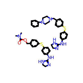 CN(C)C(=O)OCc1ccc(Sc2ccc(NC3=NCCN3)cc2)cc1.c1ccc(N2CCN(Cc3ccc(Sc4ccc(NC5=NCCN5)cc4)cc3)CC2)cc1